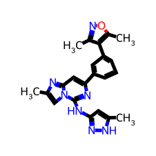 Cc1cn2c(Nc3cc(C)[nH]n3)nc(-c3cccc(-c4c(C)noc4C)c3)cc2n1